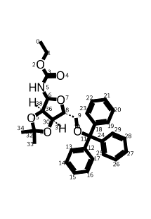 CCOC(=O)NC1O[C@H](COC(c2ccccc2)(c2ccccc2)c2ccccc2)[C@H]2OC(C)(C)O[C@@H]12